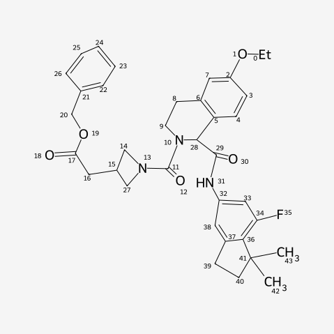 CCOc1ccc2c(c1)CCN(C(=O)N1CC(CC(=O)OCc3ccccc3)C1)C2C(=O)Nc1cc(F)c2c(c1)CCC2(C)C